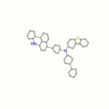 c1ccc(-c2ccc(N(c3ccc(-c4ccc5c6c(cccc46)-c4ccccc4N5)cc3)c3ccc4sc5ccccc5c4c3)cc2)cc1